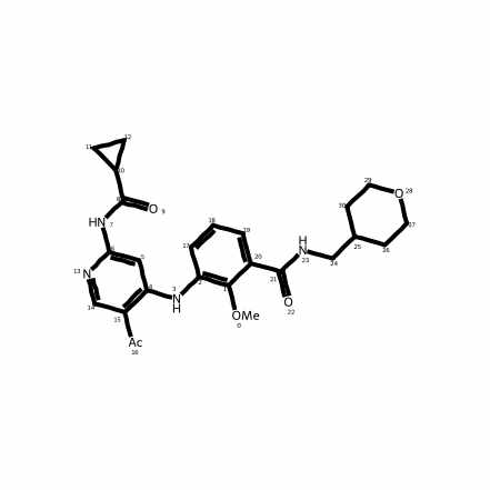 COc1c(Nc2cc(NC(=O)C3CC3)ncc2C(C)=O)cccc1C(=O)NCC1CCOCC1